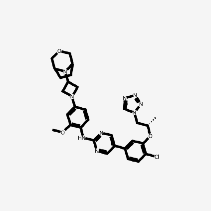 COc1cc(N2CC(N3C4CCC3COC4)C2)ccc1Nc1ncc(-c2ccc(Cl)c(O[C@@H](C)Cn3cnnn3)c2)cn1